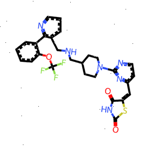 O=C1NC(=O)/C(=C\c2ccnc(N3CCC(CNCc4cccnc4-c4ccccc4OC(F)(F)F)CC3)n2)S1